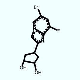 OC1CC(c2cn3cc(Br)cc(F)c3n2)CC1O